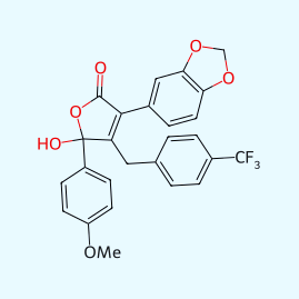 COc1ccc(C2(O)OC(=O)C(c3ccc4c(c3)OCO4)=C2Cc2ccc(C(F)(F)F)cc2)cc1